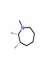 C[C@H]1CCCCN(C)[C@H]1C